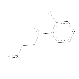 Nc1ccccc1[PH](=O)CCC(=O)Cl